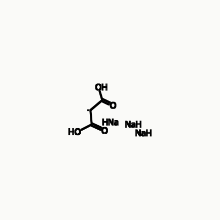 O=C(O)[CH]C(=O)O.[NaH].[NaH].[NaH]